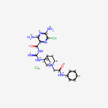 N=C(NC(=O)c1nc(Cl)c(N)nc1N)NC1C[N+]2(CC(=O)Nc3ccccc3)CCC1CC2.[Cl-]